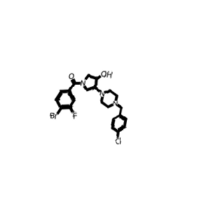 O=C(c1ccc(Br)c(F)c1)N1CC(O)C(N2CCN(Cc3ccc(Cl)cc3)CC2)C1